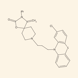 C=C1N(C(C)C)C(=O)OC12CCN(CCCN1c3ccccc3Sc3ccc(Cl)cc31)CC2